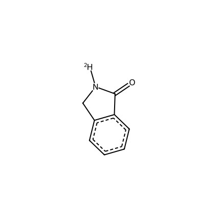 [2H]N1Cc2ccccc2C1=O